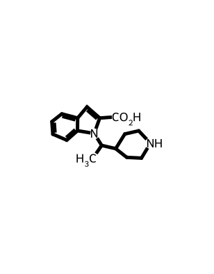 CC(C1CCNCC1)n1c(C(=O)O)cc2ccccc21